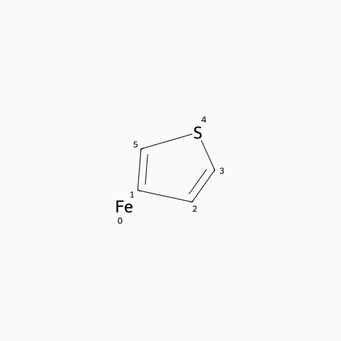 [Fe].c1ccsc1